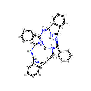 C1=c2/c3ccccc3/c3n2Cn2c(c4ccccc4c2/N=C2N=C(/N=3)c3ccccc3\2)/N=C2N=C/1c1ccccc1\2